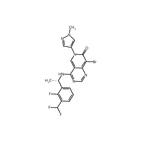 C[C@H](Nc1ncnc2c(Br)c(=O)n(-c3cnn(C)c3)cc12)c1cccc(C(F)F)c1F